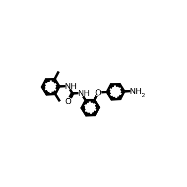 Cc1cccc(C)c1NC(=O)Nc1ccccc1Oc1ccc(N)cc1